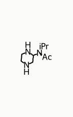 CC(=O)N(C(C)C)C1CNCCN1